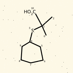 CC(C)(SC1CCCCC1)C(=O)O